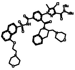 CCCCN(CCCC)C(=O)c1nn(-c2ccc(C(=O)NS(=O)(=O)c3ccc4cccc(OCCN5CCOCC5)c4c3)cc2C(=O)N2Cc3ccccc3CC2CN2CCOCC2)c(C)c1Cl